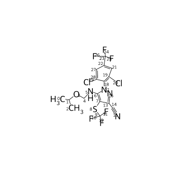 CC(C)OCNc1c(SC(F)(F)F)c(C#N)nn1-c1c(Cl)cc(C(F)(F)F)cc1Cl